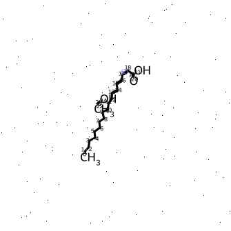 CCCCCCCCCCCCCC=CC=C/C=C\C(=O)O.CCO